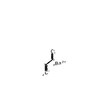 [Ba+2].[CH-]=CC=[CH-]